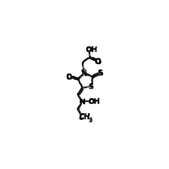 CCN(O)C=C1SC(=S)N(CC(=O)O)C1=O